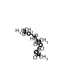 Cc1nc2c(OCc3c(Cl)ccc(N(C)C(=O)CNC(=O)/C=C/c4ccc(C(=O)N(C)C)cc4)c3Cl)cccn2c1Cl